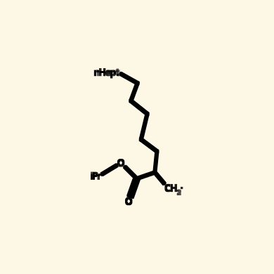 [CH2]C(CCCCCCCCCCCC)C(=O)OC(C)C